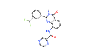 Cn1c(-c2cccc(C(F)F)c2)nc2c(NC(=O)c3cnccn3)cccc2c1=O